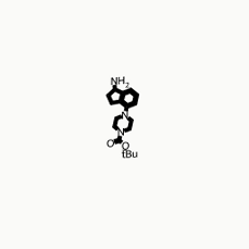 CC(C)(C)OC(=O)N1CCN(c2cccc3c2CCC3N)CC1